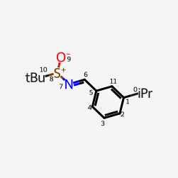 CC(C)c1cccc(/C=N/[S+]([O-])C(C)(C)C)c1